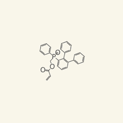 C=CC(=O)OCP(=O)(c1ccccc1)c1cccc(-c2ccccc2)c1-c1ccccc1